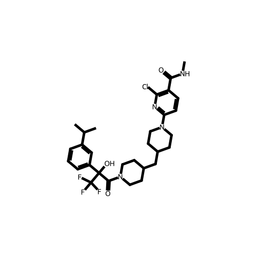 CNC(=O)c1ccc(N2CCC(CC3CCN(C(=O)C(O)(c4cccc(C(C)C)c4)C(F)(F)F)CC3)CC2)nc1Cl